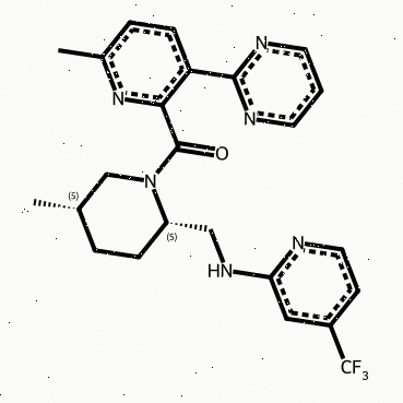 Cc1ccc(-c2ncccn2)c(C(=O)N2C[C@@H](C)CC[C@H]2CNc2cc(C(F)(F)F)ccn2)n1